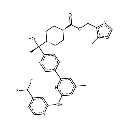 Cc1cc(Nc2cc(C(F)F)ccn2)nc(-c2ccc([C@](C)(O)[C@H]3CC[C@H](C(=O)OCc4nccn4C)CC3)nc2)c1